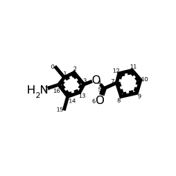 Cc1cc(OC(=O)c2ccccc2)cc(C)c1N